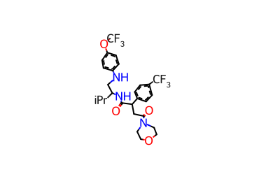 CC(C)C(CNc1ccc(OC(F)(F)F)cc1)NC(=O)C(CC(=O)N1CCOCC1)c1ccc(C(F)(F)F)cc1